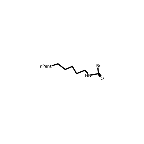 CCCCCCCCCCNC(=O)Br